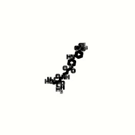 CC(C)(CO)[C@@H](O)C(=O)NCCC(=O)C(=O)N1CCC(Nc2cccc(S(=O)(=O)C(F)(F)F)c2)CC1